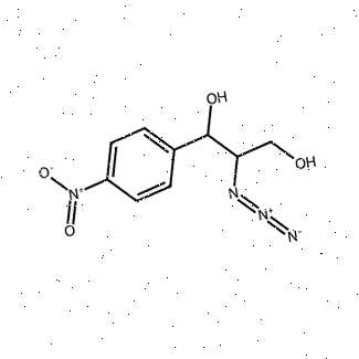 [N-]=[N+]=NC(CO)C(O)c1ccc([N+](=O)[O-])cc1